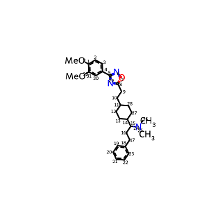 COc1ccc(-c2noc(CCC3CCC(C(CCc4ccccc4)N(C)C)CC3)n2)cc1OC